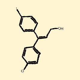 OC/C=C(/c1ccc(Cl)cc1)c1ccc(I)cc1